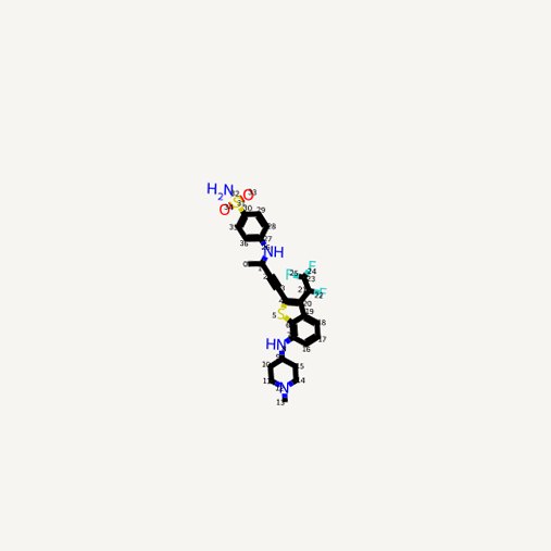 CC(C#Cc1sc2c(NC3CCN(C)CC3)cccc2c1C(F)C(F)F)Nc1ccc(S(N)(=O)=O)cc1